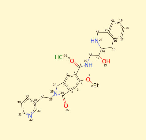 CCOc1cc2c(cc1C(=O)NCC(O)C1Cc3ccccc3CN1)CN(CCc1cccnc1)C2=O.Cl